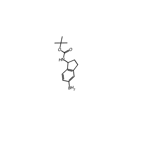 Bc1ccc2c(c1)CCC2NC(=O)OC(C)(C)C